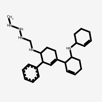 CNNNCNC1CCC(C2C=CCCC2NC2C=CCCC2)=CC1c1ccccc1